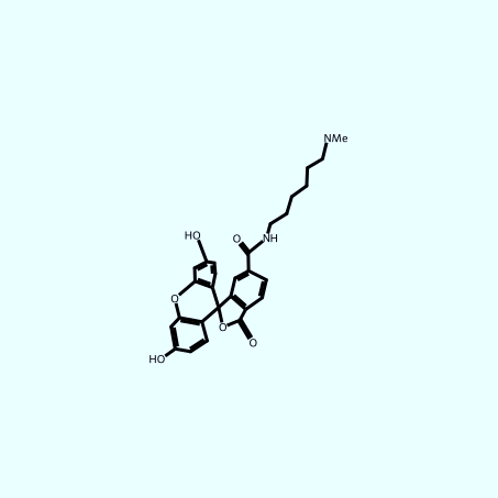 CNCCCCCCNC(=O)c1ccc2c(c1)C1(OC2=O)c2ccc(O)cc2Oc2cc(O)ccc21